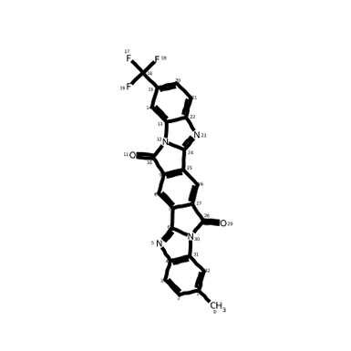 Cc1ccc2nc3c4cc5c(=O)n6c7cc(C(F)(F)F)ccc7nc6c5cc4c(=O)n3c2c1